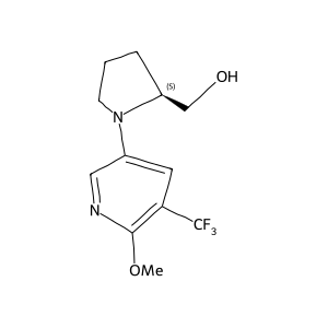 COc1ncc(N2CCC[C@H]2CO)cc1C(F)(F)F